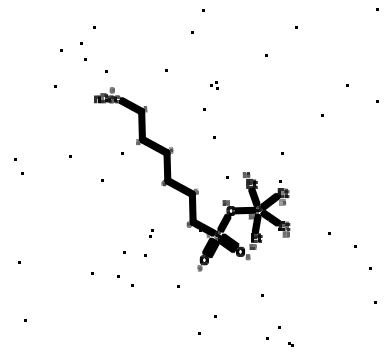 CCCCCCCCCCCCCCCCS(=O)(=O)OP(CC)(CC)(CC)CC